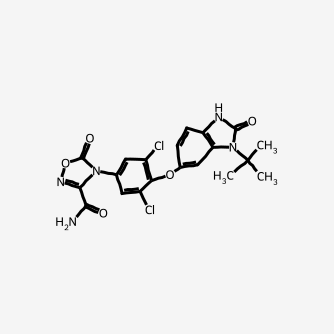 CC(C)(C)n1c(=O)[nH]c2ccc(Oc3c(Cl)cc(-n4c(C(N)=O)noc4=O)cc3Cl)cc21